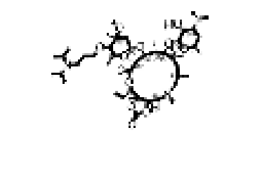 CC[C@H]1OC(=O)[C@H](C)[C@@H](O[C@H]2C[C@@](C)(OC)[C@@H](OCCCN(C(C)C)C(C)C)[C@H](C)O2)[C@H](C)[C@@H](O[C@@H]2O[C@H](C)C[C@H](N(C)C)[C@H]2O)[C@](C)(O)C[C@@H](C)CN(C)[C@H](C)[C@H]2OC(=O)O[C@@]21C